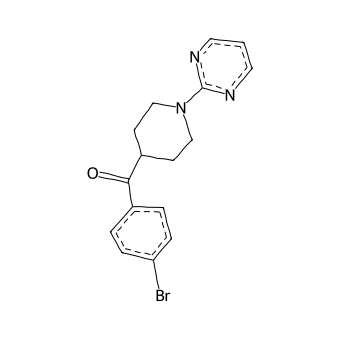 O=C(c1ccc(Br)cc1)C1CCN(c2ncccn2)CC1